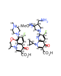 CC1COc2c(N3CCN(C)CC3)c(F)cc3c(=O)c(C(=O)O)cn1c23.CO/N=C1\CN(c2nc3c(cc2F)c(=O)c(C(=O)O)cn3C2CC2)CC1CN